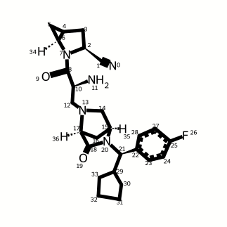 N#C[C@@H]1CC2C[C@@H]2N1C(=O)[C@@H](N)CN1C[C@@H]2C[C@H]1C(=O)N2[C@@H](c1ccc(F)cc1)C1CCCC1